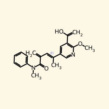 C=C(/C=C(\C)c1cnc(OC)c(C(=C)O)c1)C(=O)N(C)c1ccccc1